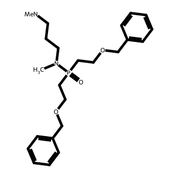 CNCCCN(C)P(=O)(CCOCc1ccccc1)CCOCc1ccccc1